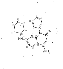 Nc1cc(=O)n(-c2ccccc2)c2nc(NC3CCOCC3)ncc12